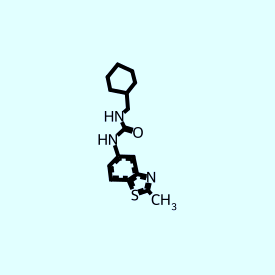 Cc1nc2cc(NC(=O)NCC3CCCCC3)ccc2s1